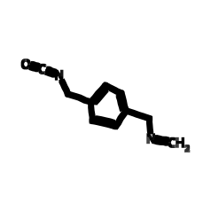 C=NCc1ccc(CN=C=O)cc1